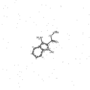 CC(=O)n1c(C(=O)OC(C)(C)C)c(N)c2ccccc21